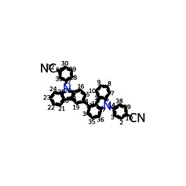 N#Cc1ccc(-n2c3ccccc3c3c(-c4ccc5c(c4)c4ccccc4n5-c4cccc(C#N)c4)cccc32)cc1